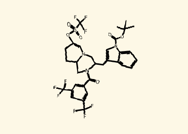 CC(C)(C)OC(=O)n1cc(CC2CN3C=C(OS(=O)(=O)C(F)(F)F)CCC3CN2C(=O)c2cc(C(F)(F)F)cc(C(F)(F)F)c2)c2ccccc21